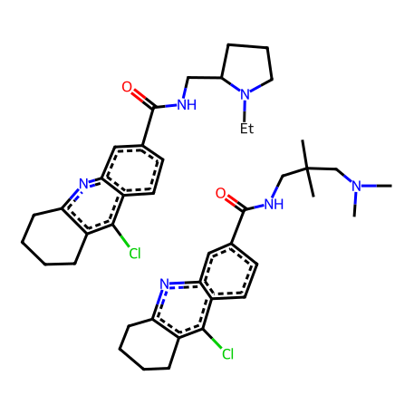 CCN1CCCC1CNC(=O)c1ccc2c(Cl)c3c(nc2c1)CCCC3.CN(C)CC(C)(C)CNC(=O)c1ccc2c(Cl)c3c(nc2c1)CCCC3